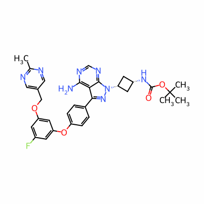 Cc1ncc(COc2cc(F)cc(Oc3ccc(-c4nn([C@H]5C[C@@H](NC(=O)OC(C)(C)C)C5)c5ncnc(N)c45)cc3)c2)cn1